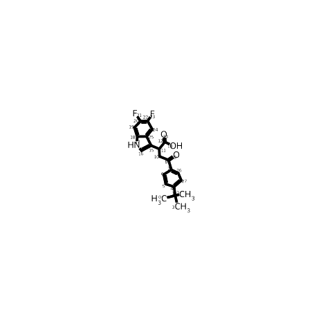 CC(C)(C)c1ccc(C(=O)CC(C(=O)O)c2c[nH]c3cc(F)c(F)cc23)cc1